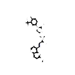 COc1ccc2nccc(/C=C/C(=O)N(C)C[C@@H]3CN(c4ccc(C)c(C(F)(F)F)c4)C(=O)O3)c2n1